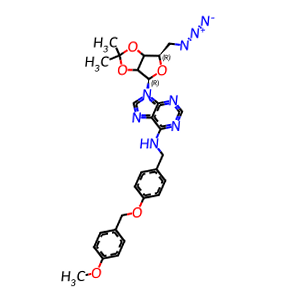 COc1ccc(COc2ccc(CNc3ncnc4c3ncn4[C@@H]3O[C@H](CN=[N+]=[N-])C4OC(C)(C)OC43)cc2)cc1